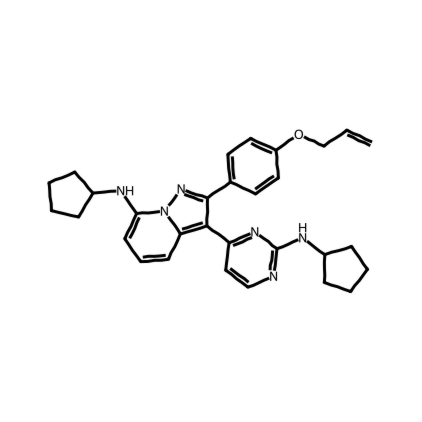 C=CCOc1ccc(-c2nn3c(NC4CCCC4)cccc3c2-c2ccnc(NC3CCCC3)n2)cc1